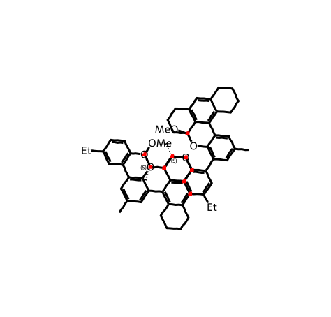 CCc1ccc(O[C@@H](C)C[C@H](C)Oc2ccc(CC)cc2-c2cc(C)cc(-c3c4c(cc5c3CCCC5)CCCC4)c2OCOC)c(-c2cc(C)cc(-c3c4c(cc5c3CCCC5)CCCC4)c2OCOC)c1